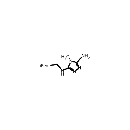 CCCC(C)CNc1nnc(N)n1C